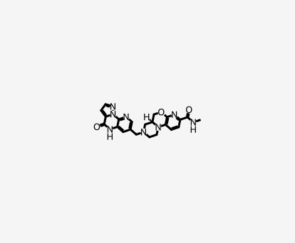 CNC(=O)c1ccc2c(n1)OC[C@H]1CN(Cc3cnc4c(c3)[nH]c(=O)c3ccnn34)CCN21